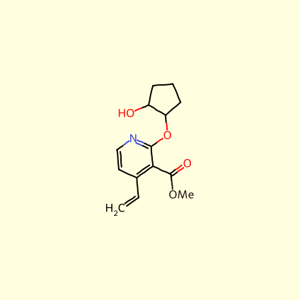 C=Cc1ccnc(OC2CCCC2O)c1C(=O)OC